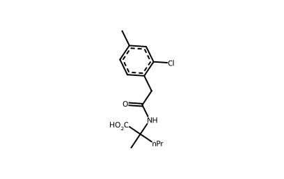 CCCC(C)(NC(=O)Cc1ccc(C)cc1Cl)C(=O)O